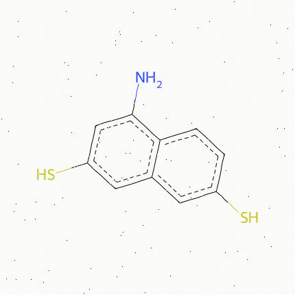 Nc1cc(S)cc2cc(S)ccc12